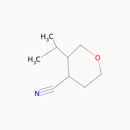 CC(C)C1COCCC1C#N